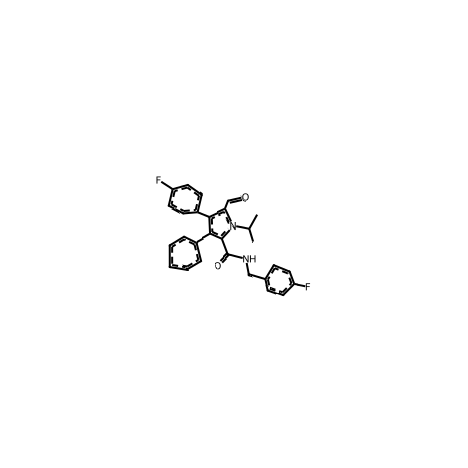 CC(C)n1c(C=O)c(-c2ccc(F)cc2)c(-c2ccccc2)c1C(=O)NCc1ccc(F)cc1